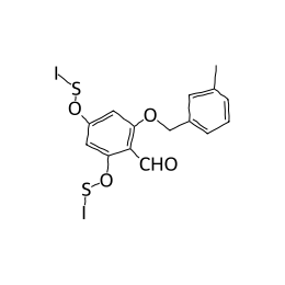 Cc1cccc(COc2cc(OSI)cc(OSI)c2C=O)c1